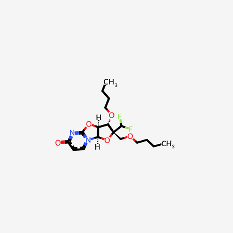 CCCCOC[C@@]1(C(F)F)O[C@@H]2[C@@H](Oc3nc(=O)ccn32)[C@@H]1OCCCC